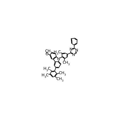 COc1ccc2c(c1)c1cc(-c3c(C)c(C)cc(C)c3C)ccc1n2-c1c(C)cc(-c2ncnc(-c3ccccc3)n2)cc1C